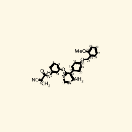 C=C(C#N)C(=O)Nc1cccc(Oc2ncnc(N)c2-c2ccc(OCc3ccccc3OC)cc2)c1